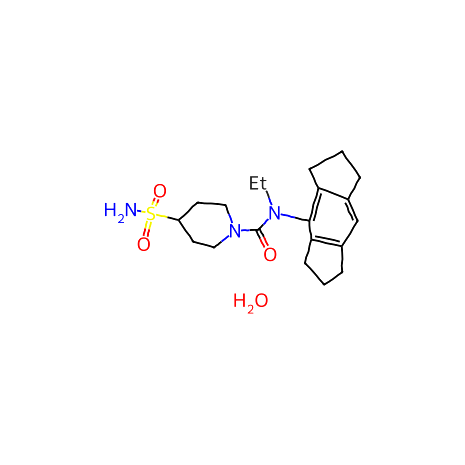 CCN(C(=O)N1CCC(S(N)(=O)=O)CC1)c1c2c(cc3c1CCC3)CCC2.O